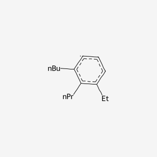 CCCCc1[c]ccc(CC)c1CCC